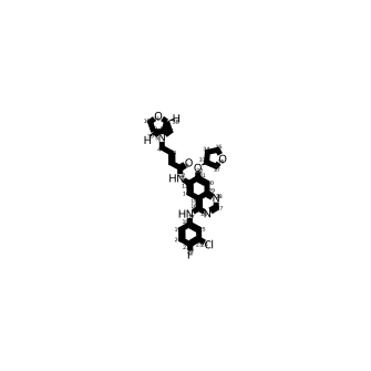 O=C(C=CCN1C[C@H]2C[C@@H]1CO2)Nc1cc2c(Nc3ccc(F)c(Cl)c3)ncnc2cc1O[C@@H]1CCOC1